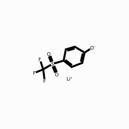 O=S(=O)(c1ccc([O-])cc1)C(F)(F)F.[Li+]